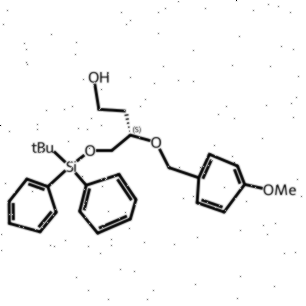 COc1ccc(CO[C@@H](CCO)CO[Si](c2ccccc2)(c2ccccc2)C(C)(C)C)cc1